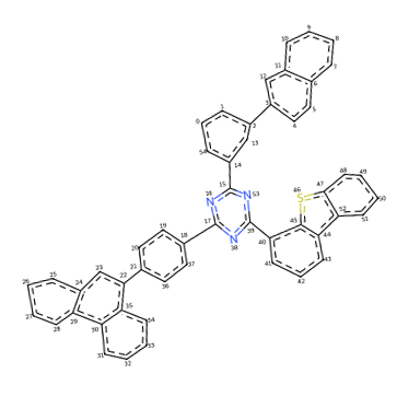 c1cc(-c2ccc3ccccc3c2)cc(-c2nc(-c3ccc(-c4cc5ccccc5c5ccccc45)cc3)nc(-c3cccc4c3sc3ccccc34)n2)c1